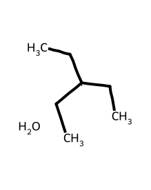 CC[C](CC)CC.O